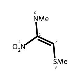 CNC(=CSC)[N+](=O)[O-]